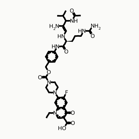 CCn1cc(C(=O)O)c(=O)c2cc(F)c(N3CCN(C(=O)OCc4ccc(NC(=O)[C@H](CCCNC(N)=O)N/C=C(\N)C(NC(C)=O)C(C)C)cc4)CC3)cc21